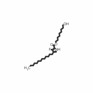 CCCCCCCCCCCCCc1c[nH]c(C(=O)OCCCCCCCCCO)c1F